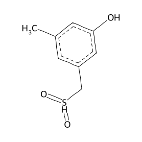 Cc1cc(O)cc(C[SH](=O)=O)c1